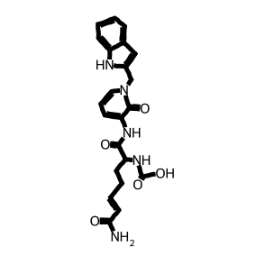 NC(=O)/C=C/CCC(NC(=O)O)C(=O)Nc1cccn(Cc2cc3ccccc3[nH]2)c1=O